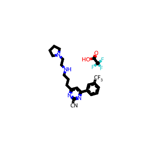 N#Cc1nc(CCCNCCN2CCCC2)cc(-c2cccc(C(F)(F)F)c2)n1.O=C(O)C(F)(F)F